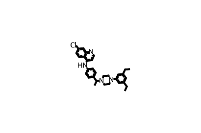 CCc1cc(CC)cc(N2CCN(C(C)c3ccc(Nc4ccnc5cc(Cl)ccc45)cc3)CC2)c1